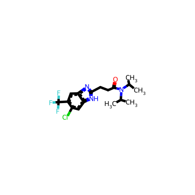 CC(C)N(C(=O)CCc1nc2cc(C(F)(F)F)c(Cl)cc2[nH]1)C(C)C